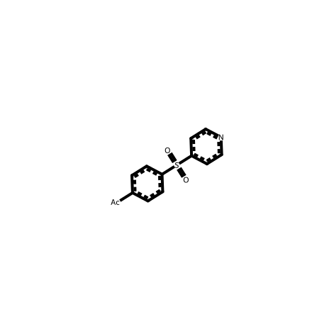 CC(=O)c1ccc(S(=O)(=O)c2ccncc2)cc1